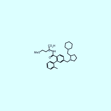 CSCC[C@H](NC(=O)c1ccc(CN2CCCC2CN2CCCCC2)cc1-c1ccccc1C)C(=O)O